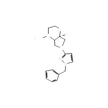 CN1CCO[C@@H]2CN(c3ccn(Cc4ccccc4)n3)CC21